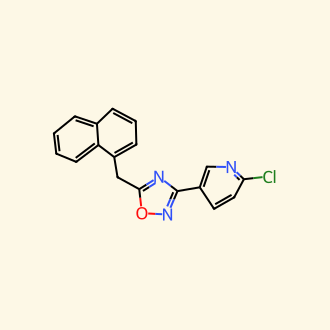 Clc1ccc(-c2noc(Cc3cccc4ccccc34)n2)cn1